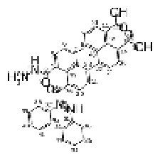 NNC(=O)c1ccc2c3ccc(C(=O)O)c4c(C(=O)O)ccc(c5ccc(C(=O)N(Nc6ccccc6)c6ccccc6)c1c25)c43